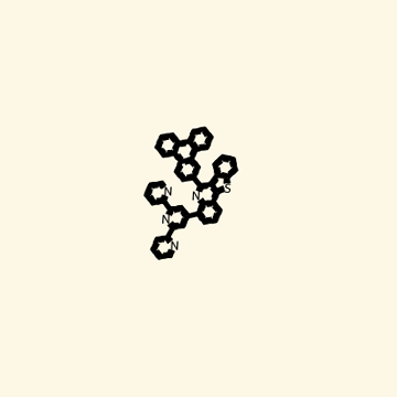 c1ccc(-c2cc(-c3cccc4c3nc(-c3ccc5c6ccccc6c6ccccc6c5c3)c3c5ccccc5sc43)cc(-c3ccccn3)n2)nc1